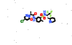 Cc1ccc(NC(=O)[C@H](C)n2ncc(Cl)cc2=O)cc1S(=O)(=O)N[C@@H](Cc1ccccn1)C(F)(F)F